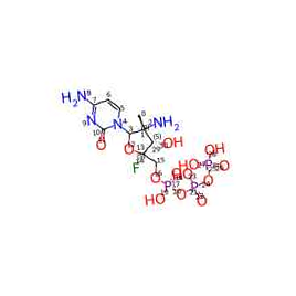 C[C@]1(N)C(n2ccc(N)nc2=O)O[C@](F)(COP(=O)(O)OP(=O)(O)OP(=O)(O)O)[C@H]1O